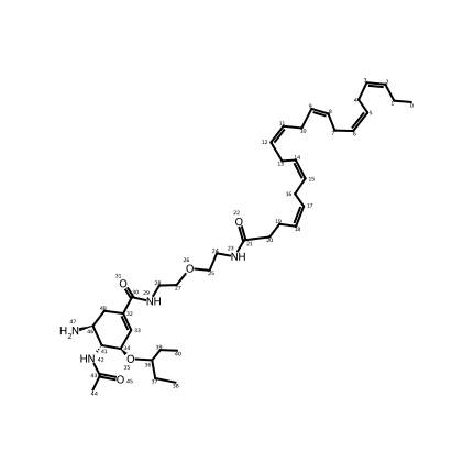 CC/C=C\C/C=C\C/C=C\C/C=C\C/C=C\C/C=C\CCC(=O)NCCOCCNC(=O)C1=C[C@@H](OC(CC)CC)[C@H](NC(C)=O)[C@@H](N)C1